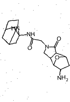 NC1CC2OC1C1CN(CC(=O)NC34CC5CC(CC(C5)N3)C4)C(=O)C21